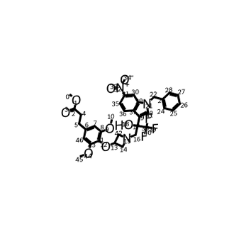 COC(=O)CCc1cc(OC)c(OC2CN(CC(O)(c3cn(Cc4ccccc4)c4cc([N+](=O)[O-])ccc34)C(F)(F)F)C2)c(OC)c1